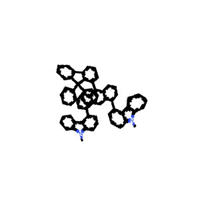 Cn1c2ccccc2c2c(-c3cccc4c(-c5cccc6c5C(c5ccccc5)(c5ccccc5)c5ccccc5-6)c5cccc(-c6cccc7c6c6ccccc6n7C)c5cc34)cccc21